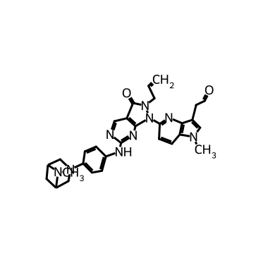 C=CCn1c(=O)c2cnc(Nc3ccc(N4CC5CC(C4)N5C)cc3)nc2n1-c1ccc2c(n1)c(CC=O)cn2C